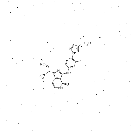 CCOC(=O)c1cnn(-c2ccc(Nc3nn(C(CC#N)C4CC4)c4cc[nH]c(=O)c34)cc2C)c1